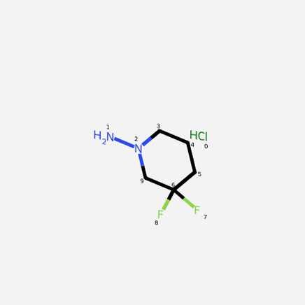 Cl.NN1CCCC(F)(F)C1